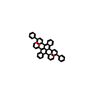 c1ccc(-c2ccc(-c3c4ccccc4c(-c4ccc(-c5ccccc5)cc4)c4c(-c5ccccc5)c5ccccc5c(-c5ccccc5)c34)cc2)cc1